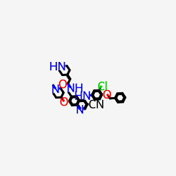 CN1CCC(Oc2cc3ncc(C#N)c(Nc4ccc(OCc5ccccc5)c(Cl)c4)c3cc2CNC(=O)C=C2CCNCC2)CC1